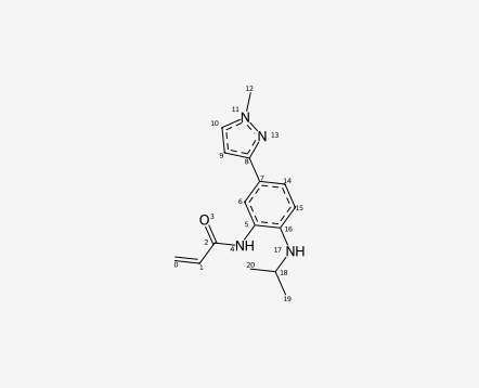 C=CC(=O)Nc1cc(-c2ccn(C)n2)ccc1NC(C)C